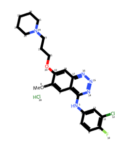 COc1cc2c(Nc3ccc(F)c(Cl)c3)nnnc2cc1OCCCN1CCCCC1.Cl